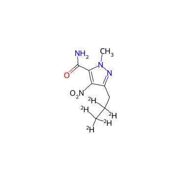 [2H]C([2H])([2H])C([2H])([2H])Cc1nn(C)c(C(N)=O)c1[N+](=O)[O-]